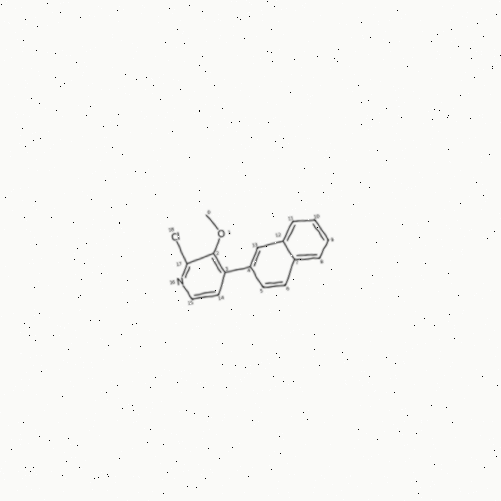 COc1c(-c2ccc3ccccc3c2)ccnc1Cl